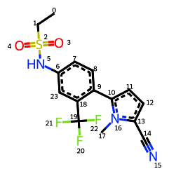 CCS(=O)(=O)Nc1ccc(-c2ccc(C#N)n2C)c(C(F)(F)F)c1